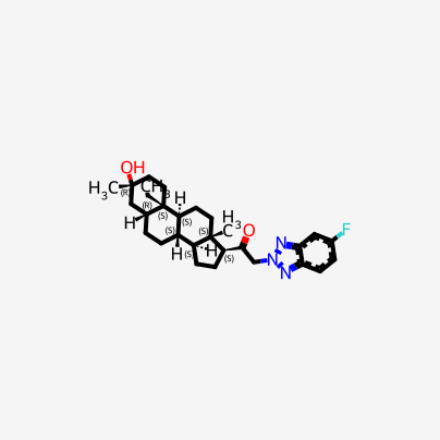 CC[C@]12CC[C@@](C)(O)C[C@H]1CC[C@H]1[C@@H]3CC[C@H](C(=O)Cn4nc5ccc(F)cc5n4)[C@@]3(C)CC[C@@H]12